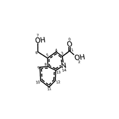 O=C(O)c1cc(CO)c2ccccc2n1